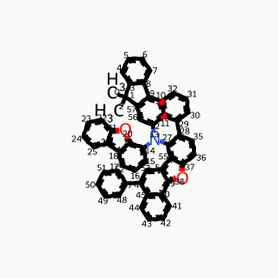 CC1(C)c2ccccc2-c2ccc(N(c3cccc4c3oc3ccccc34)c3c(-c4ccccc4)ccc4oc5c6ccccc6c(-c6ccccc6)cc5c34)cc21